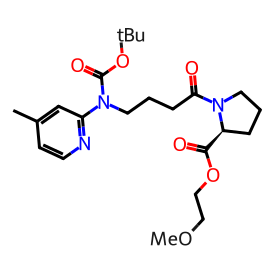 COCCOC(=O)[C@@H]1CCCN1C(=O)CCCN(C(=O)OC(C)(C)C)c1cc(C)ccn1